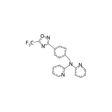 FC(F)(F)c1nc(-c2ccc(CN(c3ccccn3)c3ccccn3)cc2)no1